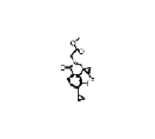 COC(=O)CN1C[C@]2(C[C@H]2F)c2c(ccc(C3CC3)c2F)C1=O